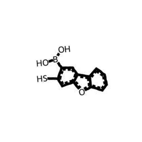 OB(O)c1cc2c(cc1S)oc1ccccc12